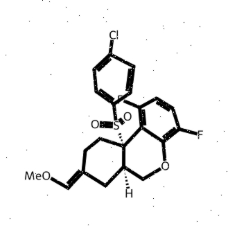 COC=C1CC[C@@]2(S(=O)(=O)c3ccc(Cl)cc3)c3c(F)ccc(F)c3OC[C@H]2C1